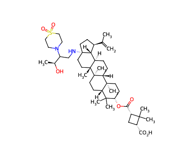 C=C(C)[C@@H]1CC[C@]2(NCC([C@H](C)O)N3CCS(=O)(=O)CC3)CC[C@]3(C)[C@H](CC[C@@H]4[C@@]5(C)CC[C@H](OC(=O)[C@H]6C[C@@H](C(=O)O)C6(C)C)C(C)(C)[C@@H]5CC[C@]43C)[C@@H]12